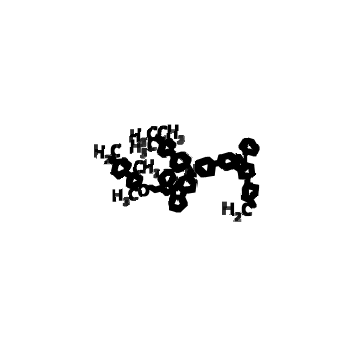 C=Cc1ccc(-c2ccc3c(c2)c2cc(-c4ccc(N(c5ccc(-c6ccc(C(C)(C)C)cc6)cc5)c5ccc6c(c5)C(CCCCOc5cc(C)c(-c7ccc(C=C)cc7)cc5C)(c5ccccc5)c5ccccc5-6)cc4)ccc2n3-c2ccccc2)cc1